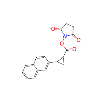 O=C(ON1C(=O)CCC1=O)C1CC1c1ccc2ccccc2c1